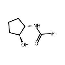 CC(C)C(=O)N[C@H]1CCC[C@@H]1O